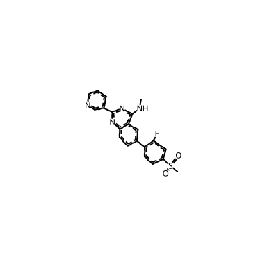 CNc1nc(-c2cccnc2)nc2ccc(-c3ccc(S(C)(=O)=O)cc3F)cc12